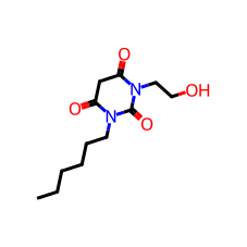 CCCCCCN1C(=O)CC(=O)N(CCO)C1=O